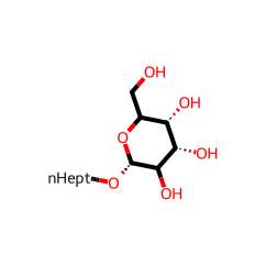 CCCCCCCO[C@@H]1OC(CO)[C@H](O)[C@H](O)C1O